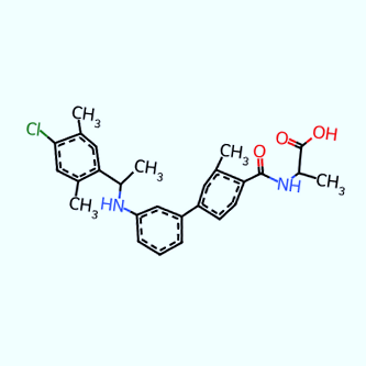 Cc1cc(C(C)Nc2cccc(-c3ccc(C(=O)NC(C)C(=O)O)c(C)c3)c2)c(C)cc1Cl